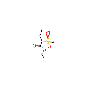 CCOC(=O)C(CC)S(C)(=O)=O